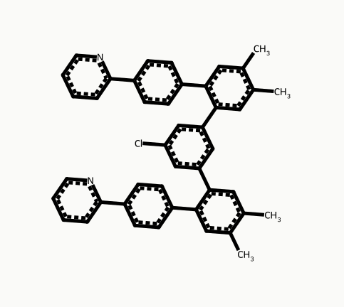 Cc1cc(-c2ccc(-c3ccccn3)cc2)c(-c2cc(Cl)cc(-c3cc(C)c(C)cc3-c3ccc(-c4ccccn4)cc3)c2)cc1C